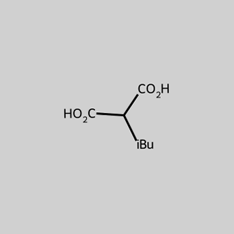 CCC(C)C(C(=O)O)C(=O)O